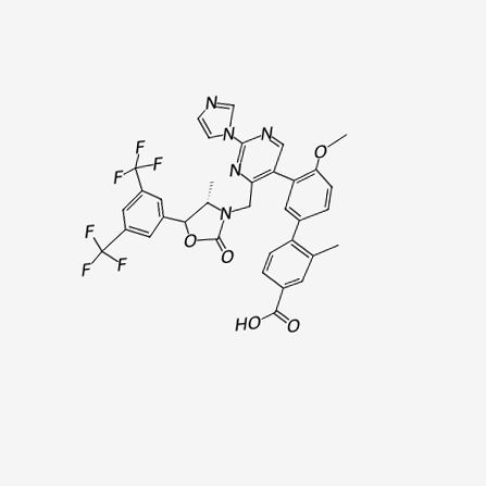 COc1ccc(-c2ccc(C(=O)O)cc2C)cc1-c1cnc(-n2ccnc2)nc1CN1C(=O)OC(c2cc(C(F)(F)F)cc(C(F)(F)F)c2)[C@@H]1C